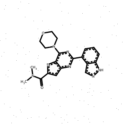 CN(C)C(=O)c1cc2nc(-c3cccc4[nH]ncc34)nc(N3CCOCC3)c2s1